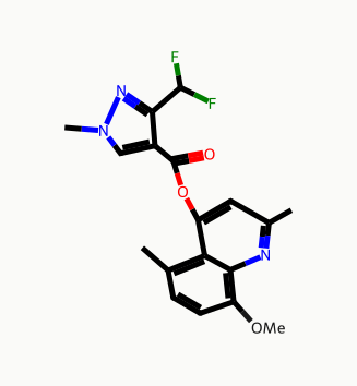 COc1ccc(C)c2c(OC(=O)c3cn(C)nc3C(F)F)cc(C)nc12